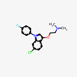 CN(C)CCOc1cn(-c2ccc(F)cc2)c2cc(Cl)ccc12